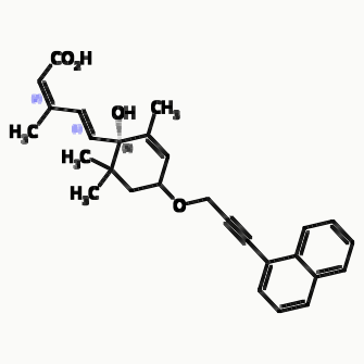 CC1=CC(OCC#Cc2cccc3ccccc23)CC(C)(C)[C@@]1(O)/C=C/C(C)=C\C(=O)O